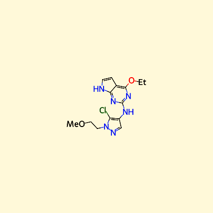 CCOc1nc(Nc2cnn(CCOC)c2Cl)nc2[nH]ccc12